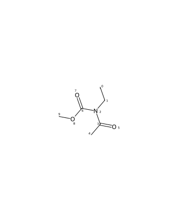 [CH2]CN(C(C)=O)C(=O)OC